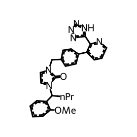 CCCC(c1ccccc1OC)n1ccn(Cc2ccc(-c3cccnc3-c3nnn[nH]3)cc2)c1=O